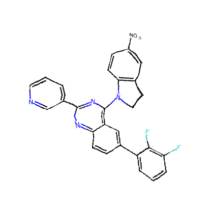 O=[N+]([O-])c1ccc2c(c1)CCN2c1nc(-c2cccnc2)nc2ccc(-c3cccc(F)c3F)cc12